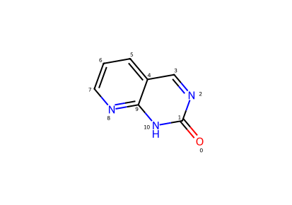 O=c1ncc2cccnc2[nH]1